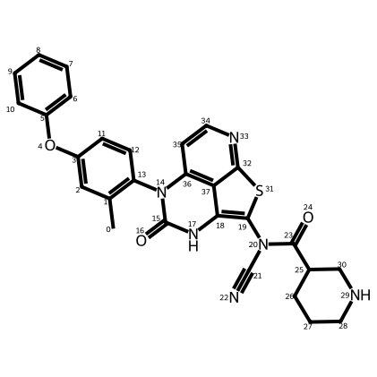 Cc1cc(Oc2ccccc2)ccc1N1C(=O)Nc2c(N(C#N)C(=O)C3CCCNC3)sc3nccc1c23